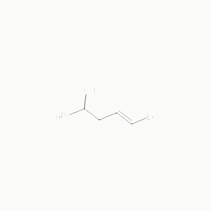 CC/C=C/CC(C)CCC